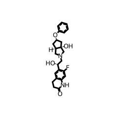 O=C1CCc2cc([C@H](O)CN3C[C@H]4C[C@H](Oc5ccccc5)C[C@@]4(O)C3)c(F)cc2N1